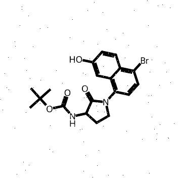 CC(C)(C)OC(=O)NC1CCN(c2ccc(Br)c3ccc(O)cc23)C1=O